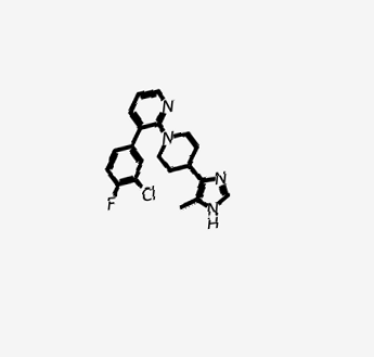 Cc1[nH]cnc1C1CCN(c2ncccc2-c2ccc(F)c(Cl)c2)CC1